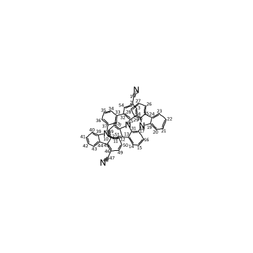 N#Cc1ccc(-n2c3ccccc3c3cccc(-n4c5ccccc5c5ccccc54)c32)c(-c2cccc(-n3c4ccccc4c4c(C#N)cccc43)c2)c1